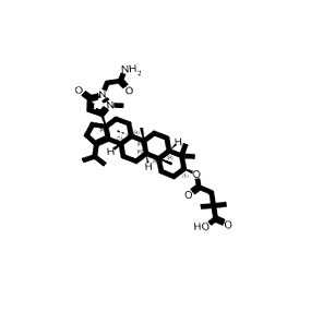 CC(C)C1=C2[C@H]3CC[C@@H]4[C@@]5(C)CC[C@H](OC(=O)CC(C)(C)C(=O)O)C(C)(C)[C@@H]5CC[C@@]4(C)[C@]3(C)CC[C@@]2(c2cc(=O)n(CC(N)=O)n2C)CC1